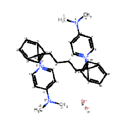 CN(C)c1cc[n+](C2(CCCCC3([n+]4ccc(N(C)C)cc4)C4=CC=C3C=C4)C3=CC=C2C=C3)cc1.[Br-].[Br-]